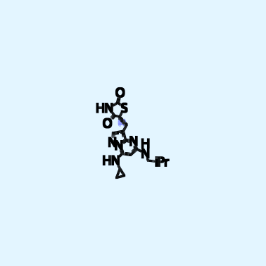 CC(C)CNc1cc(NC2CC2)n2ncc(/C=C3/SC(=O)NC3=O)c2n1